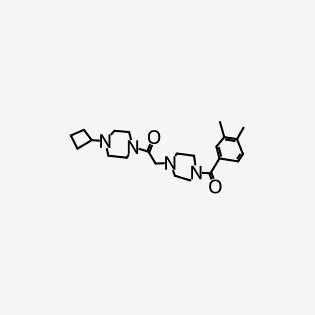 Cc1ccc(C(=O)N2CCN(CC(=O)N3CCN(C4CCC4)CC3)CC2)cc1C